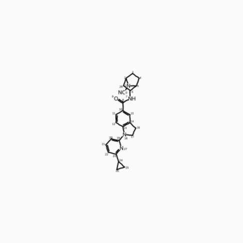 N#CN1C2CCC1C(NC(=O)c1ccc3c(c1)CCN3c1cccc(C3CC3)n1)C2